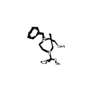 CC(C)(C)OC(=O)N1CCN(Cc2ccccc2)C(C)(CO)C1